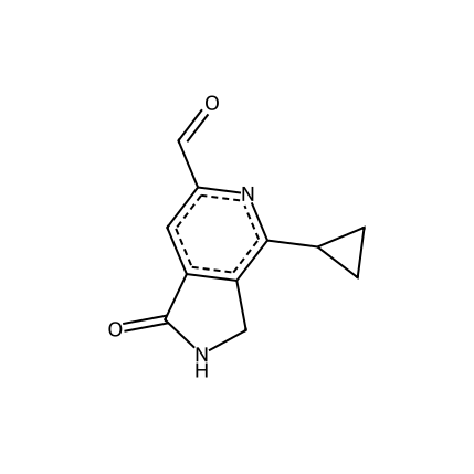 O=Cc1cc2c(c(C3CC3)n1)CNC2=O